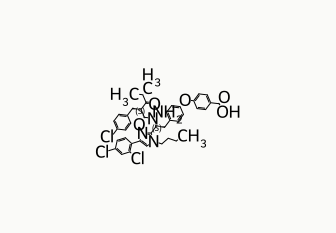 CCCCn1cc(-c2ccc(Cl)cc2Cl)nc1[C@H](Cc1ccc(Oc2ccc(C(=O)O)cc2)cc1)N(N)C(=O)[C@@H](Cc1ccc(Cl)cc1)C(=O)C(C)C